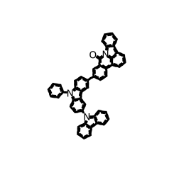 O=c1c2cc(-c3ccc4c(c3)c3cc(-n5c6ccccc6c6ccccc65)ccc3n4-c3ccccc3)ccc2c2cccc3c4ccccc4n1c23